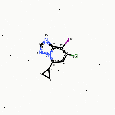 Clc1cc(C2CC2)n2ncnc2c1I